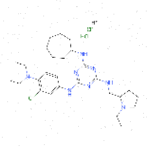 CCN(CC)c1ccc(Nc2nc(NCC3CCCN3CC)nc(NC3CCCCCC3)n2)cc1Cl.Cl.[Cl-].[H+]